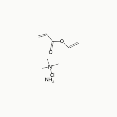 C=COC(=O)C=C.C[N+](C)(C)Cl.N